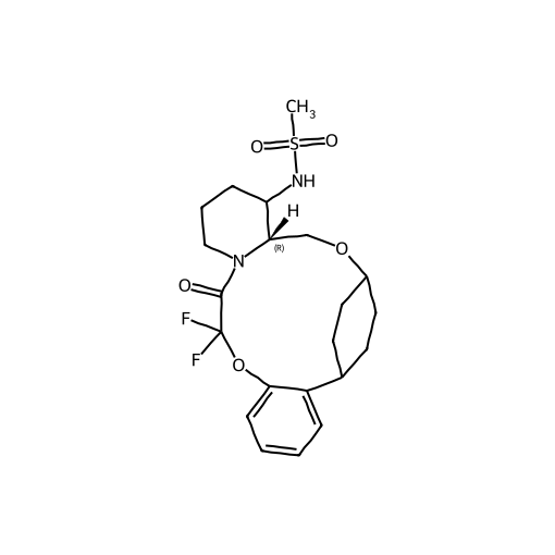 CS(=O)(=O)NC1CCCN2C(=O)C(F)(F)Oc3ccccc3C3CCC(CC3)OC[C@@H]12